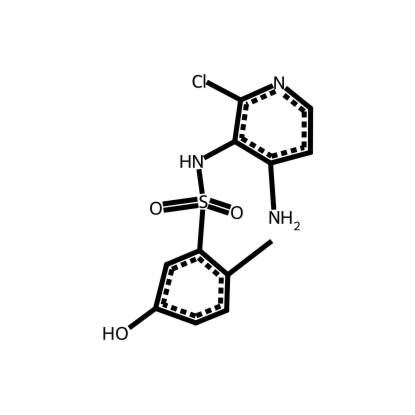 Cc1ccc(O)cc1S(=O)(=O)Nc1c(N)ccnc1Cl